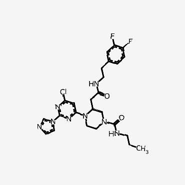 CCCNC(=O)N1CCN(c2cc(Cl)nc(-n3ccnc3)n2)C(CC(=O)NCCc2ccc(F)c(F)c2)C1